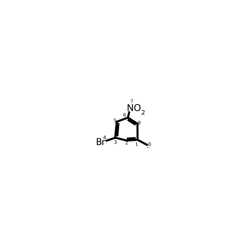 [CH2]c1cc(Br)cc([N+](=O)[O-])c1